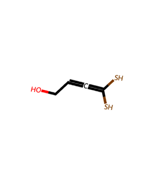 OCC=C=C(S)S